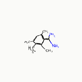 Cc1cc(C)c(C(N)N)c(C)c1C